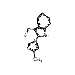 Cc1cn(-c2[nH]c3ccccc3c2C=O)cn1